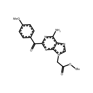 COc1ccc(C(=O)c2nc(N)c3ncn(CC(=O)OC(C)(C)C)c3n2)cc1